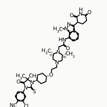 C[C@@H]1CN(CCO[C@H]2CC[C@H](N3C(=S)N(c4ccc(C#N)c(Cl)c4)C(=O)C3(C)C)CC2)C[C@H](C)N1CC(=O)Nc1cccc2c(C3CCC(=O)NC3=O)nn(C)c12